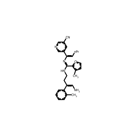 CCC/C=C(/N=C(/NCC/C(=C/N)c1ccccc1C)c1occc1C)c1cncc(C#N)c1